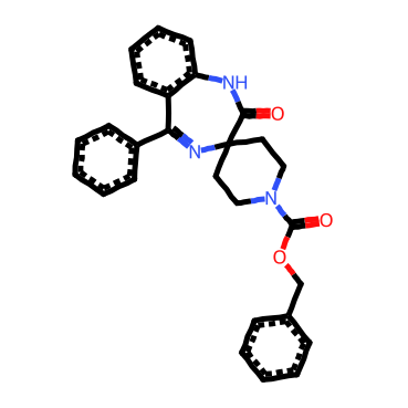 O=C(OCc1ccccc1)N1CCC2(CC1)N=C(c1ccccc1)c1ccccc1NC2=O